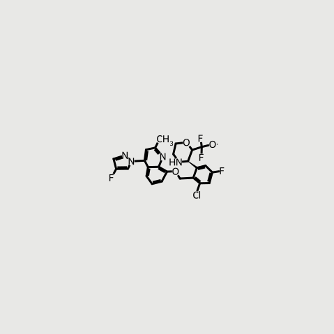 Cc1cc(-n2cc(F)cn2)c2cccc(OCc3c(Cl)cc(F)cc3[C@H]3NCCOC3C([O])(F)F)c2n1